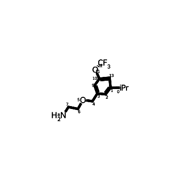 CC(C)c1cc(COCCN)cc(OC(F)(F)F)c1